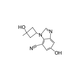 CC1(O)CC(n2cnc3cc(O)cc(C#N)c32)C1